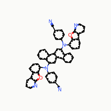 N#Cc1ccc(N(c2cc3c4ccccc4c(N(c4ccc(C#N)cc4)c4cccc5c4oc4ncccc45)cc3c3ccccc23)c2cccc3c2oc2ncccc23)cc1